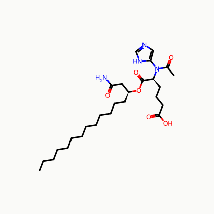 CCCCCCCCCCCCC[C@@H](CC(N)=O)OC(=O)[C@H](CCCC(=O)O)N(C(C)=O)c1cnc[nH]1